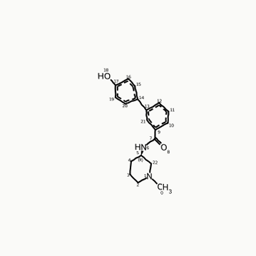 CN1CCC[C@@H](NC(=O)c2cccc(-c3ccc(O)cc3)c2)C1